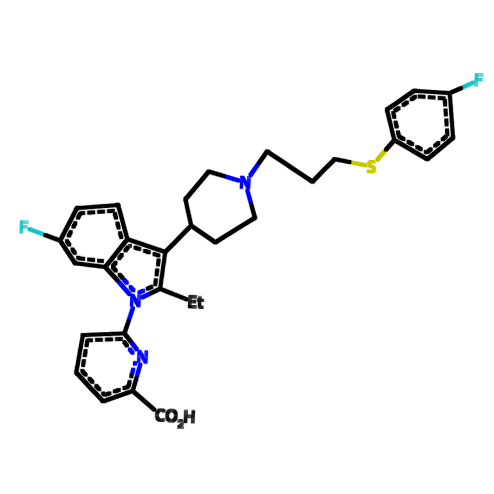 CCc1c(C2CCN(CCCSc3ccc(F)cc3)CC2)c2ccc(F)cc2n1-c1cccc(C(=O)O)n1